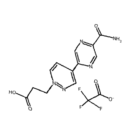 NC(=O)c1cnc(-c2cc[n+](CCC(=O)O)nc2)cn1.O=C([O-])C(F)(F)F